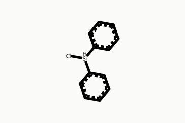 Cl[SiH](c1ccccc1)c1ccccc1